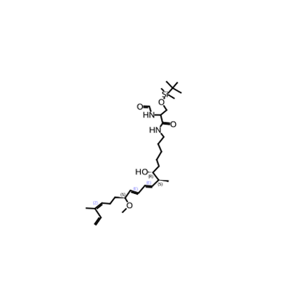 C=C/C(C)=C\CC[C@@H](/C=C/C=C/[C@H](C)[C@H](O)CCCCCNC(=O)C(CO[Si](C)(C)C(C)(C)C)NC=O)OC